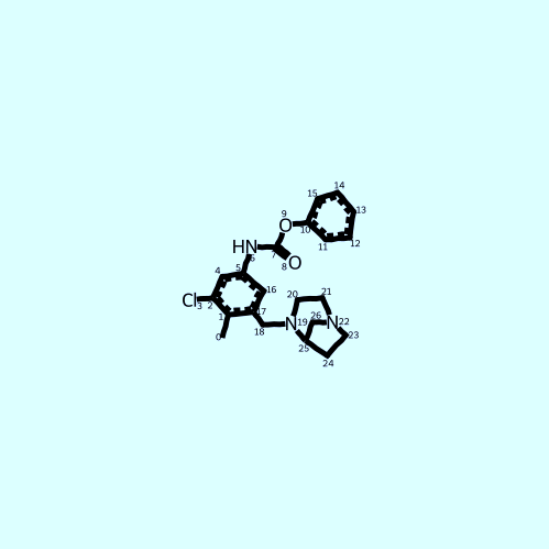 Cc1c(Cl)cc(NC(=O)Oc2ccccc2)cc1CN1CCN2CCC1C2